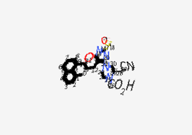 Cc1cccc2cccc(C3CCc4c(nc([S+](C)[O-])nc4N4CCN(C(=O)O)[C@@H](CC#N)C4)O3)c12